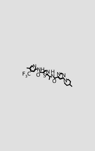 Cc1cnc(NC(=O)c2cnc(C(C)NC(=O)c3cc(N4CCC(C)CC4)ncn3)s2)cc1C(F)(F)F